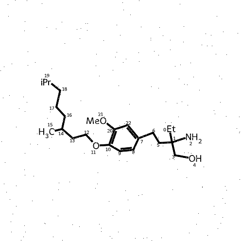 CCC(N)(CO)CCc1ccc(OCCC(C)CCCC(C)C)c(OC)c1